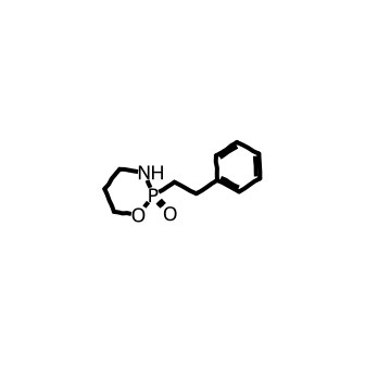 O=P1(CCc2ccccc2)NCCCO1